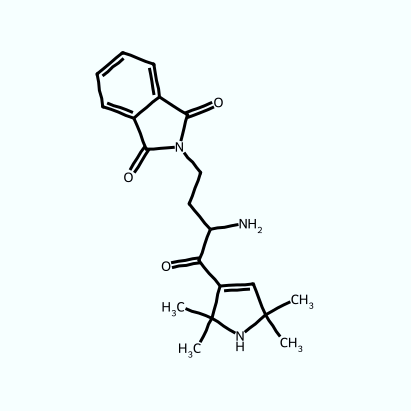 CC1(C)C=C(C(=O)C(N)CCN2C(=O)c3ccccc3C2=O)C(C)(C)N1